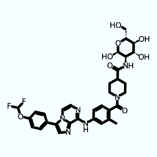 Cc1cc(Nc2nccn3c(-c4ccc(OC(F)F)cc4)cnc23)ccc1C(=O)N1CCC(C(=O)N[C@@H]2[C@@H](O)[C@H](O)[C@@H](CO)O[C@@H]2O)CC1